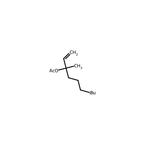 C=CC(C)(CCCC(C)CC)OC(C)=O